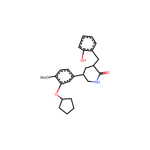 COc1ccc(C2CNC(=O)C(Cc3ccccc3O)C2)cc1OC1CCCC1